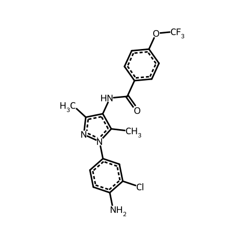 Cc1nn(-c2ccc(N)c(Cl)c2)c(C)c1NC(=O)c1ccc(OC(F)(F)F)cc1